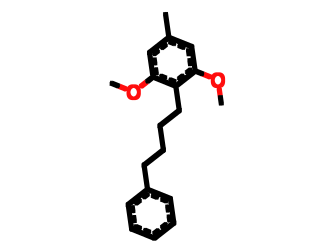 COc1cc(C)cc(OC)c1CCCCc1ccccc1